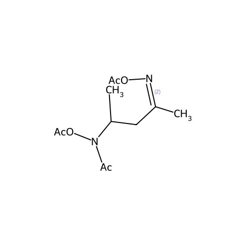 CC(=O)O/N=C(/C)CC(C)N(OC(C)=O)C(C)=O